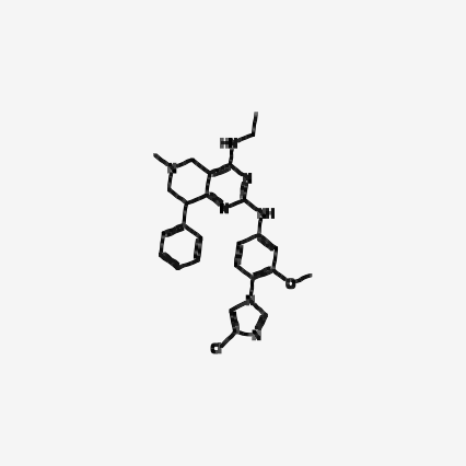 CCNc1nc(Nc2ccc(-n3cnc(Cl)c3)c(OC)c2)nc2c1CN(C)CC2c1ccccc1